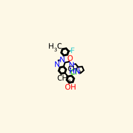 Cc1cc(F)cc(N2C=Nc3cc(C)c(-c4cc(O)ccc4Cl)cc3C2C(=O)N(C)CC2CCCN2)c1